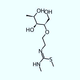 CN/C(=N/CCO[C@H](CO)[C@@H](O)[C@@H](C)O)SC